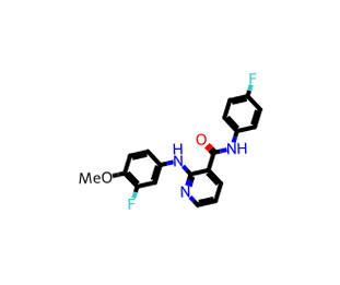 COc1ccc(Nc2ncccc2C(=O)Nc2ccc(F)cc2)cc1F